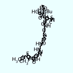 Cc1ncsc1-c1ccc(CNC(=O)[C@@H]2C[C@@H](O)CN2C(=O)[C@@H](NC(=O)C2(F)CC2)C(C)(C)C)c(OCC(=O)NCCOCCN2CC[C@@]3(CCN(CC(=O)NCCCNc4cc(N5CCC6(CC5)CN(c5cc(F)c(CN7CCC(C)(C)CC7)cc5F)CC(=O)N6)ncn4)C3)C2)c1